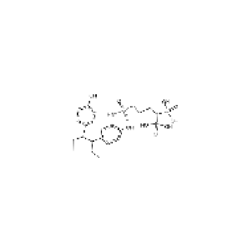 CCC(c1ccc(O)cc1)C(CC)c1ccc(O)c(NS(=O)(=O)CCCC(P(=O)(O)O)P(=O)(O)O)c1